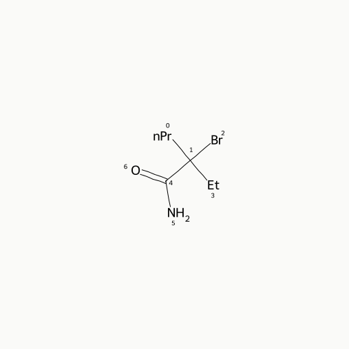 CCCC(Br)(CC)C(N)=O